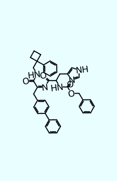 O=C(NC(Cc1c[nH]cn1)C(=O)N=C(Cc1ccc(-c2ccccc2)cc1)C(=O)NCC1(c2ccccc2)CCC1)OCc1ccccc1